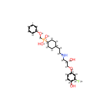 O=P(O)(COc1ccccc1)C1CCC(CCNC[C@H](O)COc2ccc(O)c(F)c2)CC1